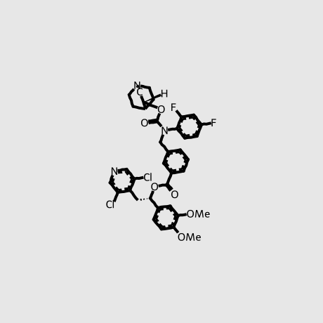 COc1ccc([C@H](Cc2c(Cl)cncc2Cl)OC(=O)c2cccc(CN(C(=O)O[C@H]3CN4CCC3CC4)c3ccc(F)cc3F)c2)cc1OC